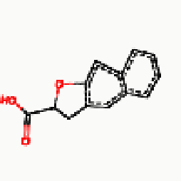 O=C(O)C1Cc2cc3ccccc3cc2O1